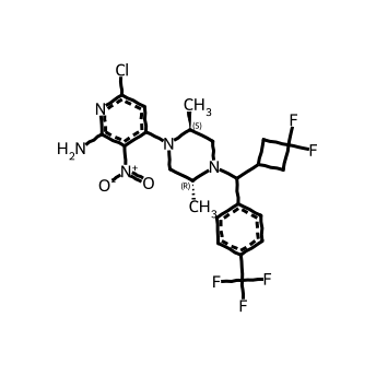 C[C@@H]1CN(c2cc(Cl)nc(N)c2[N+](=O)[O-])[C@@H](C)CN1C(c1ccc(C(F)(F)F)cc1)C1CC(F)(F)C1